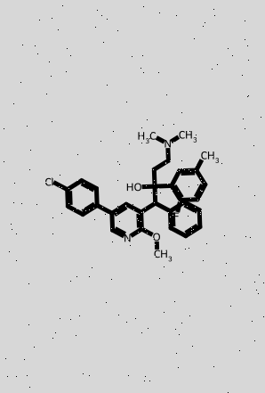 COc1ncc(-c2ccc(Cl)cc2)cc1C(c1ccccc1)C(O)(CCN(C)C)c1cc(C)ccc1F